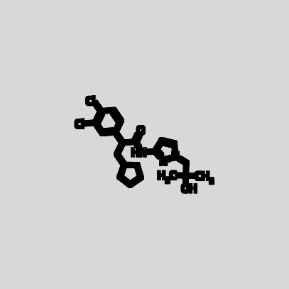 CC(C)(O)Cn1ccc(NC(=O)C(CC2CCCC2)c2ccc(Cl)c(Cl)c2)n1